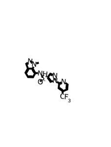 Cn1ncc2cccc(N[S+]([O-])c3cnn(-c4cc(C(F)(F)F)ccn4)c3)c21